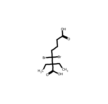 CCC(CC)(C(=O)O)C(Br)(Br)CCCC(=O)O